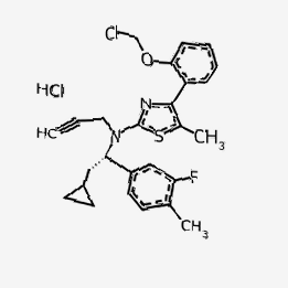 C#CCN(c1nc(-c2ccccc2OCCl)c(C)s1)[C@@H](CC1CC1)c1ccc(C)c(F)c1.Cl